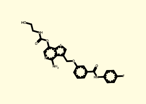 Nc1ncc(OC(=O)NCCO)c2scc(COc3cccc(C(=O)Nc4ccc(F)cc4)c3)c12